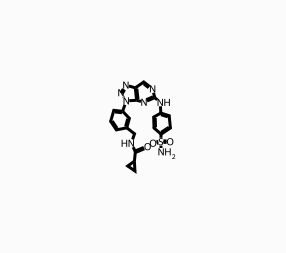 NS(=O)(=O)c1ccc(Nc2ncc3nnn(-c4cccc(CNC(=O)C5CC5)c4)c3n2)cc1